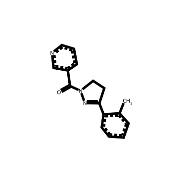 Cc1ccccc1C1=NN(C(=O)c2cccnc2)CC1